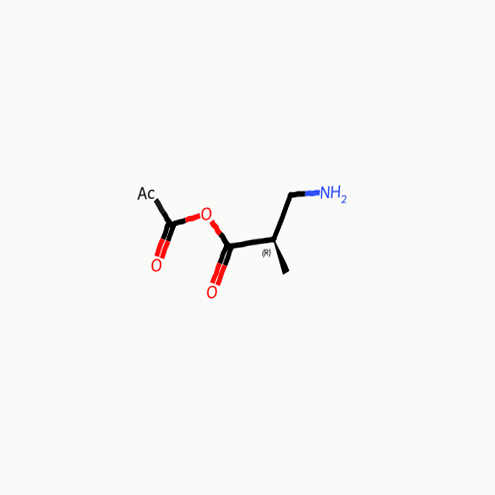 CC(=O)C(=O)OC(=O)[C@H](C)CN